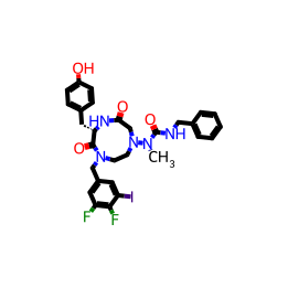 CN(C(=O)NCc1ccccc1)N1CCN(Cc2cc(F)c(F)c(I)c2)C(=O)[C@H](Cc2ccc(O)cc2)NC(=O)C1